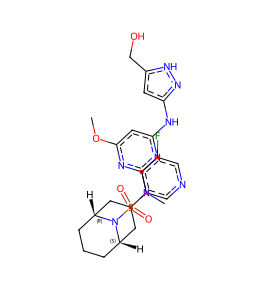 COc1cc(Nc2cc(CO)[nH]n2)nc(N(C)C2C[C@H]3CCC[C@@H](C2)N3S(=O)(=O)c2cncc(F)c2)n1